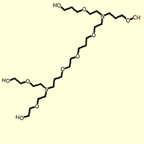 COCCCN(CCOCCCO)CCOCCCOCCOCCCN(CCOCCO)CCOCCO